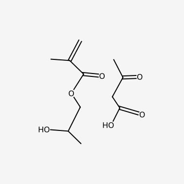 C=C(C)C(=O)OCC(C)O.CC(=O)CC(=O)O